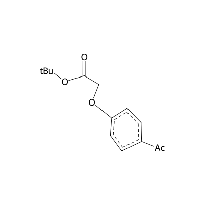 CC(=O)c1ccc(OCC(=O)OC(C)(C)C)cc1